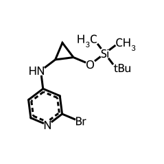 CC(C)(C)[Si](C)(C)OC1CC1Nc1ccnc(Br)c1